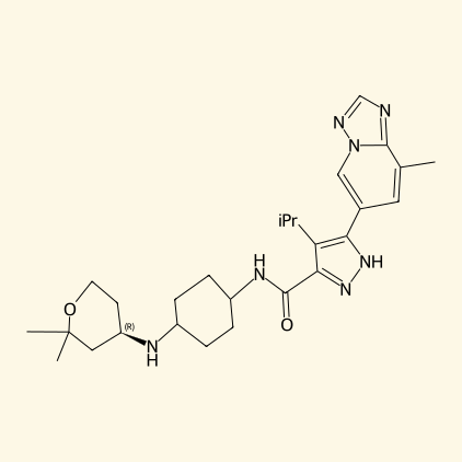 Cc1cc(-c2[nH]nc(C(=O)NC3CCC(N[C@@H]4CCOC(C)(C)C4)CC3)c2C(C)C)cn2ncnc12